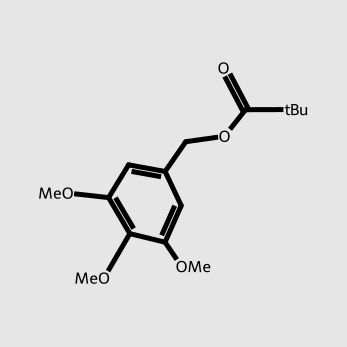 COc1cc(COC(=O)C(C)(C)C)cc(OC)c1OC